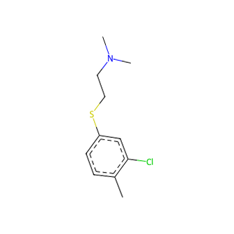 Cc1ccc(SCCN(C)C)cc1Cl